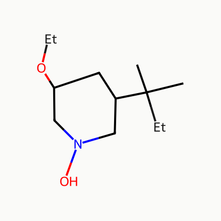 CCOC1CC(C(C)(C)CC)CN(O)C1